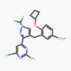 Nc1nc(Cl)cc(-c2nn(C(F)F)cc2Cc2cc(C(=O)O)ccc2OC2CCC2)n1